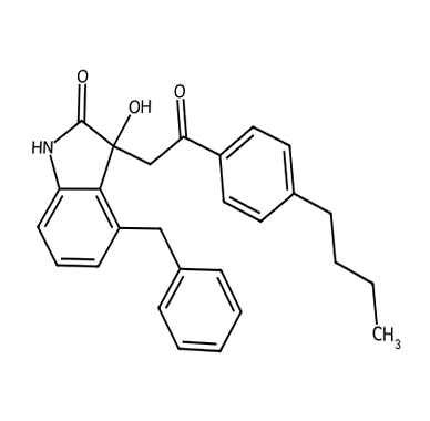 CCCCc1ccc(C(=O)CC2(O)C(=O)Nc3cccc(Cc4ccccc4)c32)cc1